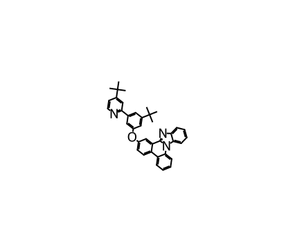 CC(C)(C)c1cc(Oc2ccc3c4ccccc4n4c5ccccc5nc4c3c2)cc(-c2cc(C(C)(C)C)ccn2)c1